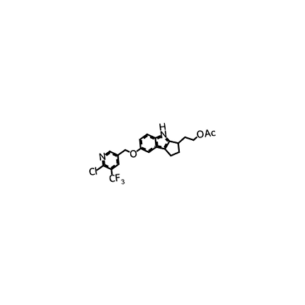 CC(=O)OCCC1CCc2c1[nH]c1ccc(OCc3cnc(Cl)c(C(F)(F)F)c3)cc21